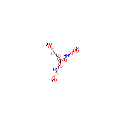 C=C(C)C(=O)OCCOCCNCCC(=O)OCC(CC)(COC(=O)CCNCCOCCOC(=O)C(=C)C)COC(=O)CCNCCOCCOC(=O)C(=C)C